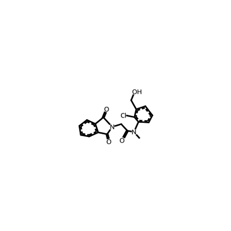 CN(C(=O)CN1C(=O)c2ccccc2C1=O)c1cccc(CO)c1Cl